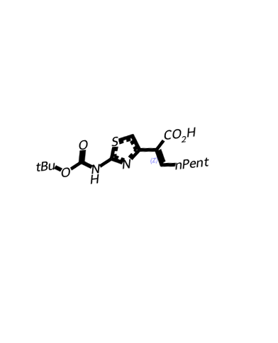 CCCCC/C=C(\C(=O)O)c1csc(NC(=O)OC(C)(C)C)n1